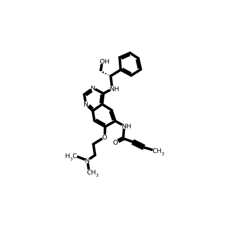 CC#CC(=O)Nc1cc2c(N[C@H](CO)c3ccccc3)ncnc2cc1OCCN(C)C